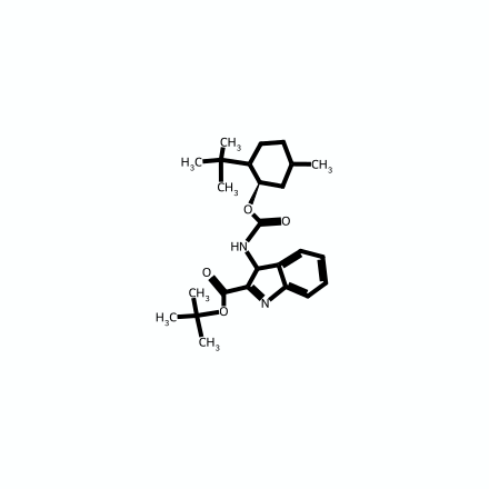 CC1CCC(C(C)(C)C)[C@H](OC(=O)NC2C(C(=O)OC(C)(C)C)=Nc3ccccc32)C1